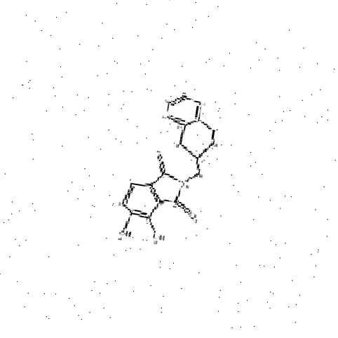 O=C1c2ccc(O)c(O)c2C(=O)N1CC1CCc2ccccc2C1